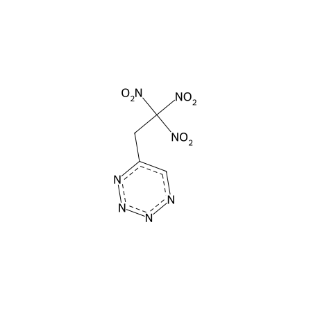 O=[N+]([O-])C(Cc1cnnnn1)([N+](=O)[O-])[N+](=O)[O-]